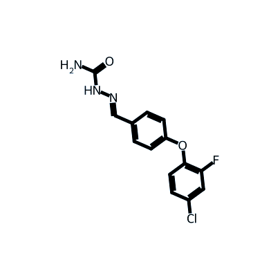 NC(=O)NN=Cc1ccc(Oc2ccc(Cl)cc2F)cc1